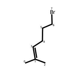 CC(C)=CCCCBr